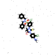 [C-]#[N+]c1ccc(N2C(=O)C(C)(C)N(c3ccc(Cl)c(S(=O)(=O)N(Cc4ccccc4)Cc4ccccc4)c3)C2=S)cc1Cl